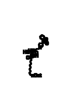 CCCCCCCC/C=C\CCCCCCCC(=O)OCC(CO)(CO)NC(=O)CCN1CCC(n2c(=O)oc3ccccc32)CC1